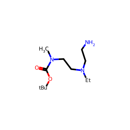 CCN(CCN)CCN(C)C(=O)OC(C)(C)C